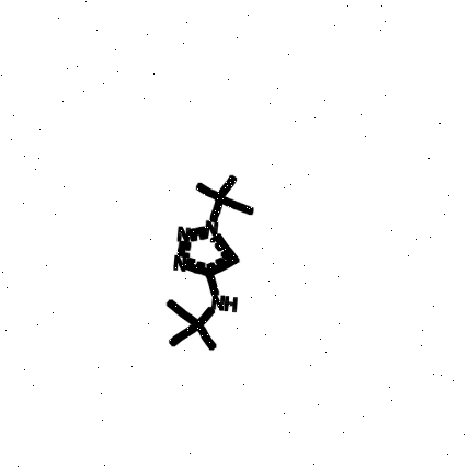 CC(C)(C)Nc1cn(C(C)(C)C)nn1